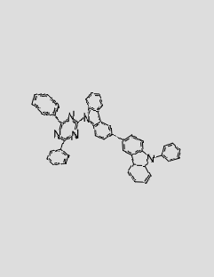 C1=CC2c3cc(-c4ccc5c(c4)c4ccccc4n5-c4nc(-c5ccccc5)nc(-c5ccccc5)n4)ccc3N(c3ccccc3)C2C=C1